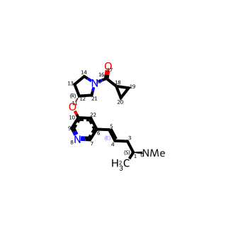 CN[C@@H](C)C/C=C/c1cncc(O[C@@H]2CCN(C(=O)C3CC3)C2)c1